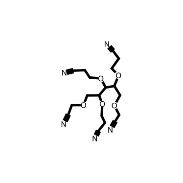 N#CCCOC(COCC#N)C(OCCC#N)C(COCC#N)OCCC#N